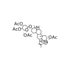 C=C(C)[C@@H]1CC[C@]2(COC(C)=O)CC[C@]3(C)[C@H](CCC4[C@@]5(C)CC[C@@H](OC6C[C@@H](OC(C)=O)[C@H](OC(C)=O)[C@@H](COC(C)=O)O6)C(C)(C)[C@@H]5CC[C@]43C)[C@@H]12